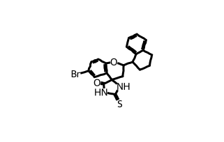 O=C1NC(=S)NC12CC(C1CCCc3ccccc31)Oc1ccc(Br)cc12